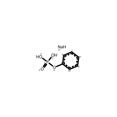 O=P(O)(O)Oc1ccccc1.[NaH]